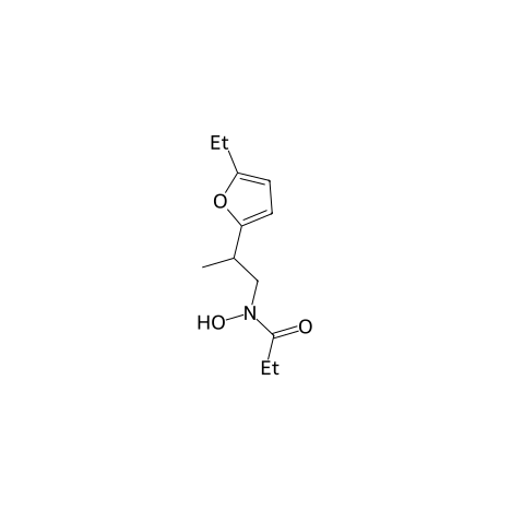 CCC(=O)N(O)CC(C)c1ccc(CC)o1